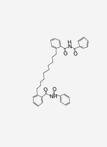 O=C(NC(=O)c1ccccc1CCCCCCCCCCc1ccccc1C(=O)NC(=O)c1ccccc1)c1ccccc1